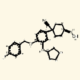 N#CC1(c2ccc(OCc3ccc(F)cc3)c(OC3CCCC3)c2)CCC(=NO)CC1